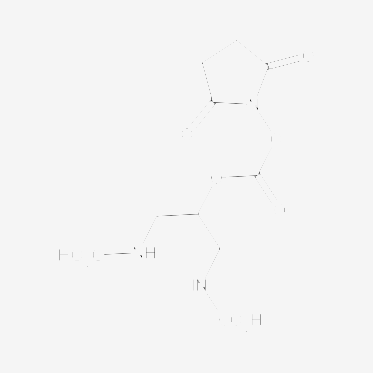 O=C(O)NCC(CNC(=O)O)OC(=O)ON1C(=O)CCC1=O